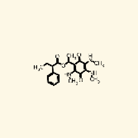 CCC(C(=O)OC(C)C1=C(NC)C(=O)C(NC)=C(NC)C1=O)c1ccccc1